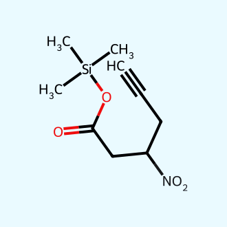 C#CCC(CC(=O)O[Si](C)(C)C)[N+](=O)[O-]